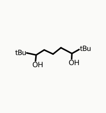 CC(C)(C)C(O)CCCC(O)C(C)(C)C